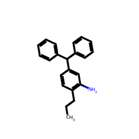 CCCc1ccc(C(c2ccccc2)c2ccccc2)cc1N